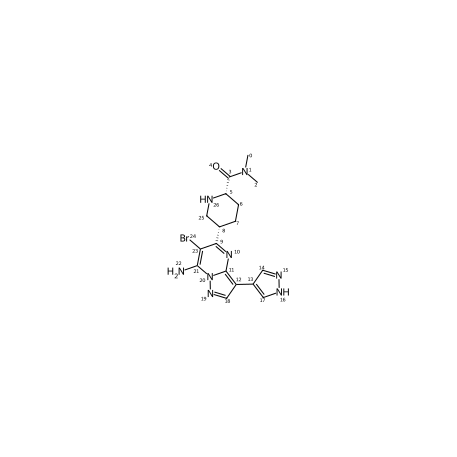 CN(C)C(=O)[C@@H]1CC[C@H](c2nc3c(-c4cn[nH]c4)cnn3c(N)c2Br)CN1